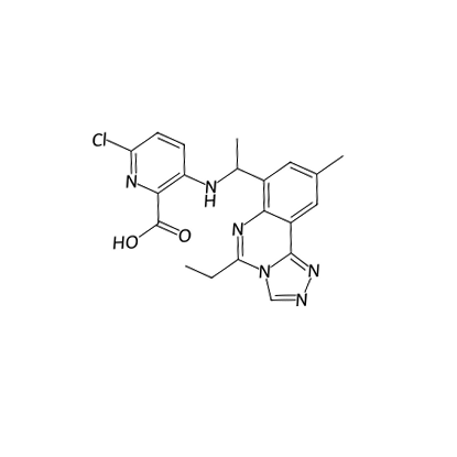 CCc1nc2c(C(C)Nc3ccc(Cl)nc3C(=O)O)cc(C)cc2c2nncn12